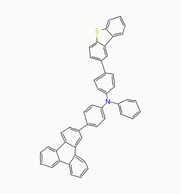 c1ccc(N(c2ccc(-c3ccc4sc5ccccc5c4c3)cc2)c2ccc(-c3ccc4c5ccccc5c5ccccc5c4c3)cc2)cc1